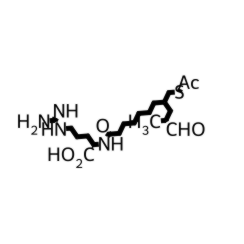 CC(=O)SCC(CCCCCCC(=O)N[C@@H](CCCNC(=N)N)C(=O)O)CC(C)C=O